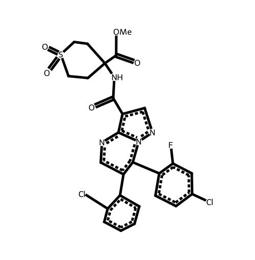 COC(=O)C1(NC(=O)c2cnn3c(-c4ccc(Cl)cc4F)c(-c4ccccc4Cl)cnc23)CCS(=O)(=O)CC1